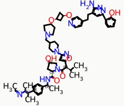 C/C=N\C(C)=C(/C)c1ccc([C@H](C)NC(=O)[C@@H]2C[C@@H](O)CN2C(=O)[C@@H](c2cc(N3CCC(CN4CCC(O[C@H]5C[C@H](Oc6cc(CCc7cc(-c8ccccc8O)nnc7N)ccn6)C5)CC4)CC3)no2)C(C)C)cc1